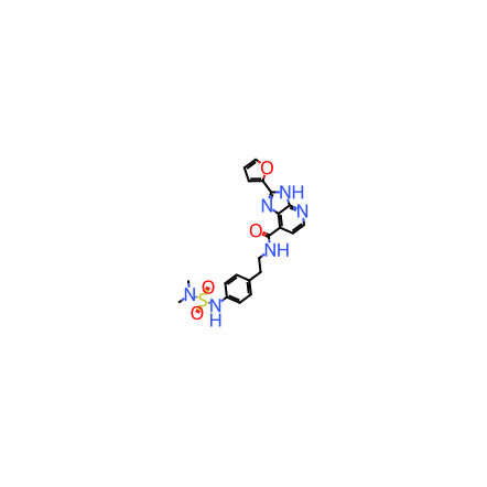 CN(C)S(=O)(=O)Nc1ccc(CCNC(=O)c2ccnc3[nH]c(-c4ccco4)nc23)cc1